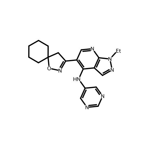 CCn1ncc2c(Nc3cncnc3)c(C3=NOC4(CCCCC4)C3)cnc21